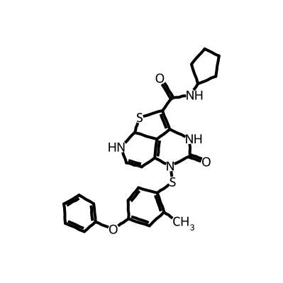 Cc1cc(Oc2ccccc2)ccc1SN1C(=O)NC2=C(C(=O)NC3CCCC3)SC3NC=CC1=C23